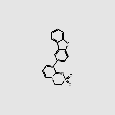 O=S1(=O)CCN2C=CC=C(c3ccc4sc5ccccc5c4c3)C2=N1